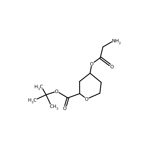 CC(C)(C)OC(=O)C1CC(OC(=O)CN)CCO1